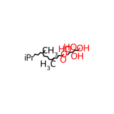 CC(=CCCC(=O)OC[C@H](O)[C@@H](O)[C@H](O)CO)CCCC(C)CCCC(C)C